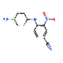 N#Cc1ccc(NC2CCC(N)CC2)c([N+](=O)[O-])c1